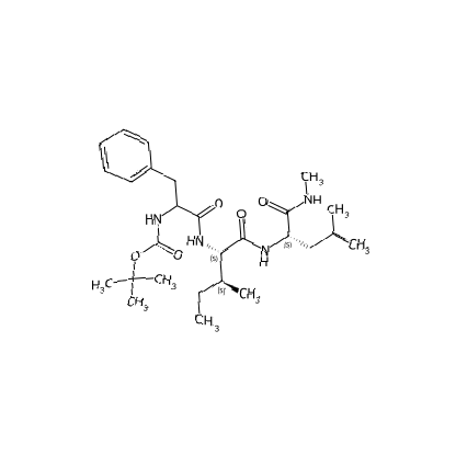 CC[C@H](C)[C@H](NC(=O)C(Cc1ccccc1)NC(=O)OC(C)(C)C)C(=O)N[C@@H](CC(C)C)C(=O)NC